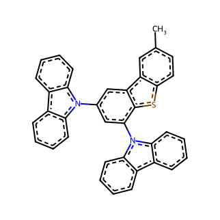 Cc1ccc2sc3c(-n4c5ccccc5c5ccccc54)cc(-n4c5ccccc5c5ccccc54)cc3c2c1